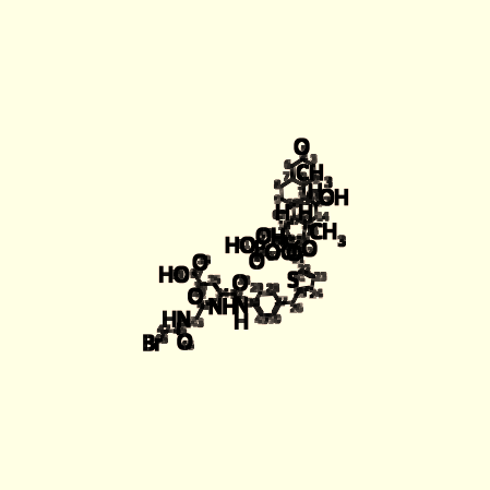 C[C@]12C=CC(=O)C=C1CC[C@@H]1[C@@H]2[C@@H](O)C[C@@]2(C)[C@H]1C[C@H]1O[C@@H](c3ccc(Cc4ccc(NC(=O)[C@H](CCC(=O)O)NC(=O)CNC(=O)CBr)cc4)s3)O[C@]12C(=O)COP(=O)(O)O